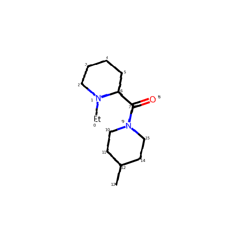 CCN1CCCCC1C(=O)N1CCC(C)CC1